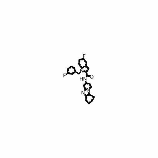 O=C(Nc1ccn2c(c1)nc1ccccc12)c1cc2cc(F)ccc2n1Cc1cccc(F)c1